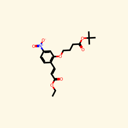 CCOC(=O)/C=C/c1ccc([N+](=O)[O-])cc1OCCCC(=O)OC(C)(C)C